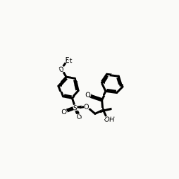 CCOc1ccc(S(=O)(=O)OCC(C)(O)C(=O)c2ccccc2)cc1